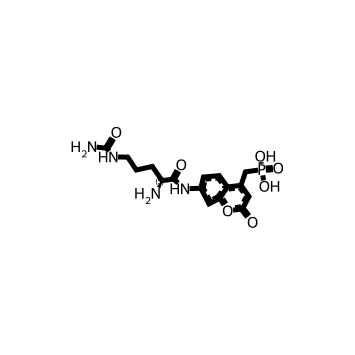 NC(=O)NCCC[C@H](N)C(=O)Nc1ccc2c(CP(=O)(O)O)cc(=O)oc2c1